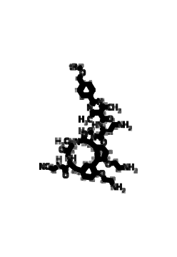 Cc1nc(-c2ccc(COC(C)(C)C)cc2)nc(C)c1C(=O)N[C@@H](CCN)C(=O)N(C)[C@@H]1C(=O)N[C@@H](C)C(=O)N[C@H](C(=O)NCC#N)Cc2ccc(OCCN)c(c2)-c2cc1ccc2OCCN